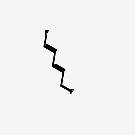 FC=CC=CCF